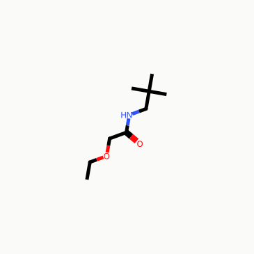 CCOCC(=O)NCC(C)(C)C